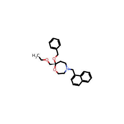 CCOC[C@@]1(OCc2ccccc2)CCN(Cc2cccc3ccccc23)CCO1